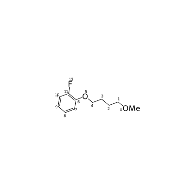 COCCCCOc1ccc[c]c1F